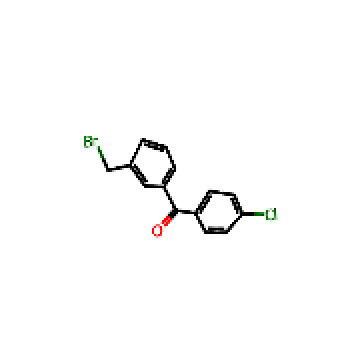 O=C(c1ccc(Cl)cc1)c1cccc(CBr)c1